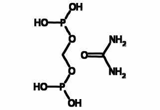 NC(N)=O.OP(O)OCOP(O)O